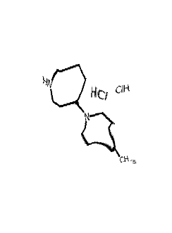 CC1CCN(C2CCCNC2)CC1.Cl.Cl